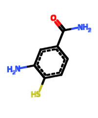 NC(=O)c1ccc(S)c(N)c1